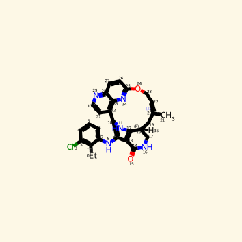 CCc1c(Cl)cccc1Nc1c2[nH]c3c1C(=O)NC[C@H]3C/C(C)=C\COc1ccc3nccc-2c3n1